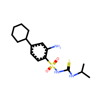 CC(C)NC(=S)NS(=O)(=O)c1ccc(C2CCCCC2)cc1N